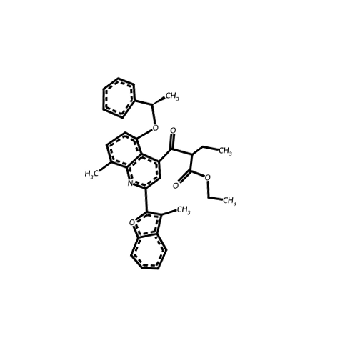 CCOC(=O)C(CC)C(=O)c1cc(-c2oc3ccccc3c2C)nc2c(C)ccc(O[C@H](C)c3ccccc3)c12